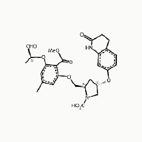 COC(=O)c1c(OC[C@H]2C[C@H](Oc3ccc4c(c3)NC(=O)CC4)CN2C(=O)O)cc(C)cc1O[C@@H](C)C=O